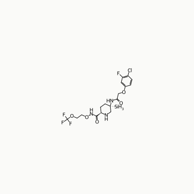 O=C(COc1ccc(Cl)c(F)c1)N[C@]1([SiH3])CC[C@H](C(=O)NOCCOC(F)(F)F)NC1